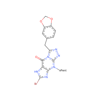 CCCCCn1c2nc(Br)[nH]c2c(=O)n2c(Cc3ccc4c(c3)OCO4)nnc12